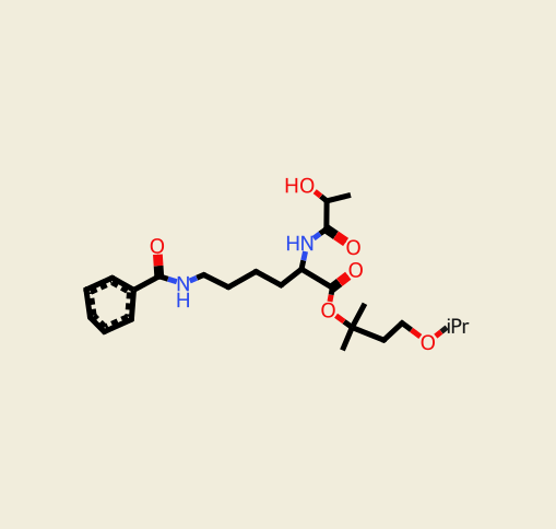 CC(C)OCCC(C)(C)OC(=O)C(CCCCNC(=O)c1ccccc1)NC(=O)C(C)O